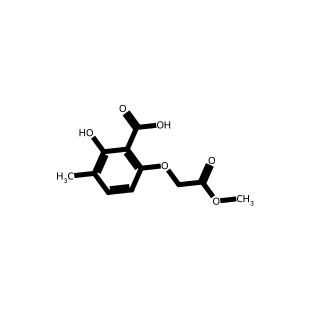 COC(=O)COc1ccc(C)c(O)c1C(=O)O